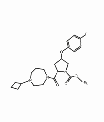 CC(C)(C)OC(=O)N1C[C@H](Oc2ccc(F)cc2)C[C@@H]1C(=O)N1CCCN(C2CCC2)CC1